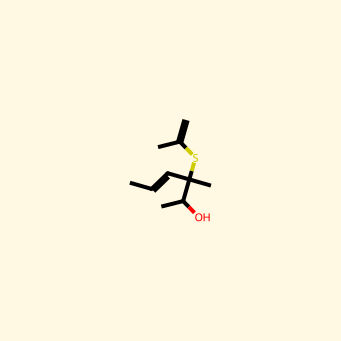 C=C(C)SC(C)(C=CC)C(C)O